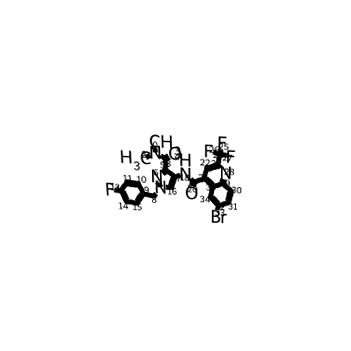 CN(C)C(=O)c1nn(Cc2ccc(F)cc2)cc1NC(=O)c1cc(C(F)(F)F)nc2ccc(Br)cc12